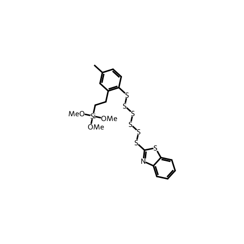 CO[Si](CCc1cc(C)ccc1SSSSSSc1nc2ccccc2s1)(OC)OC